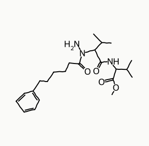 COC(=O)C(NC(=O)C(C(C)C)N(N)C(=O)CCCCCc1ccccc1)C(C)C